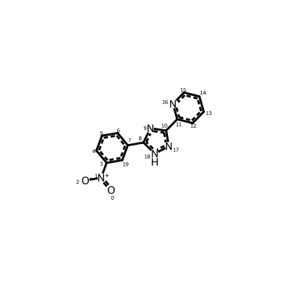 O=[N+]([O-])c1cccc(-c2nc(-c3ccccn3)n[nH]2)c1